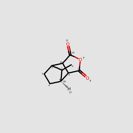 CC1C2CC[C@@H]1C1C(=O)OC(=O)C21